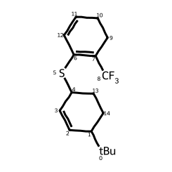 CC(C)(C)C1C=CC(SC2=C(C(F)(F)F)CCC=C2)CC1